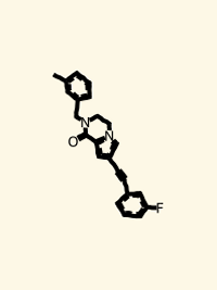 Cc1cccc(CN2CCn3cc(C#Cc4cccc(F)c4)cc3C2=O)c1